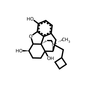 C[N@@+]1(CC2CCC2)CC[C@@]23c4c5ccc(O)c4OC2[C@H](O)CCC3(O)C1C5